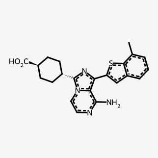 Cc1cccc2cc(-c3nc([C@H]4CC[C@H](C(=O)O)CC4)n4ccnc(N)c34)sc12